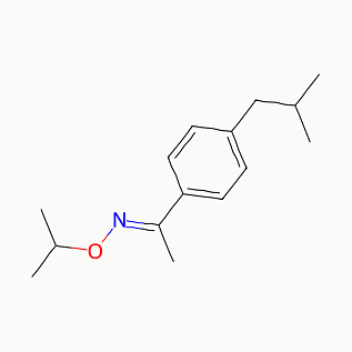 C/C(=N\OC(C)C)c1ccc(CC(C)C)cc1